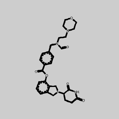 O=CN(CCN1CCOCC1)Cc1ccc(C(=O)Oc2cccc3c2CN(C2CCC(=O)NC2=O)C3)cc1